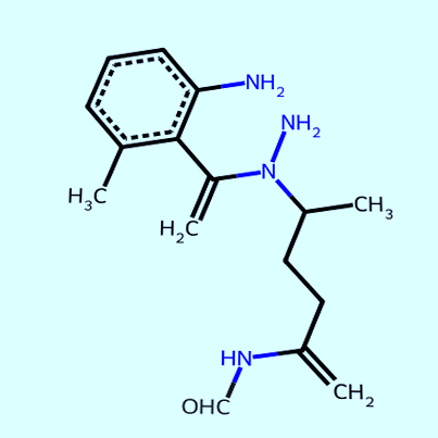 C=C(CCC(C)N(N)C(=C)c1c(C)cccc1N)NC=O